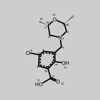 C[C@@H]1CN(Cc2cc(Cl)cc(C(=O)O)c2O)C[C@H](C)O1